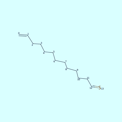 C=CCCCCCCCCCCC=S